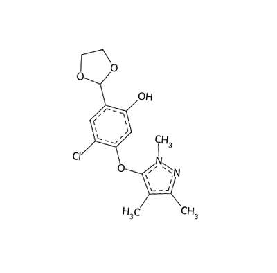 Cc1nn(C)c(Oc2cc(O)c(C3OCCO3)cc2Cl)c1C